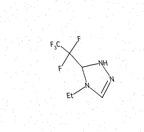 CCN1C=NNC1C(F)(F)C(F)(F)F